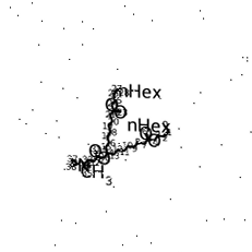 CCCCCC/C=C\COC(=O)CCCCCCCC(CCCCCCCC(=O)OC/C=C\CCCCCC)OC(=O)CCN(C)C1CC1